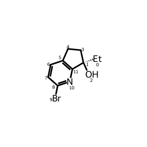 CC[C@@]1(O)CCc2ccc(Br)nc21